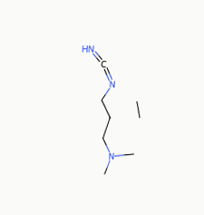 CC.CN(C)CCCN=C=N